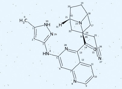 Cc1cc(Nc2cc3ncccc3c(C(=O)[C@@H]3CC4CC[C@@H](C3)N4CCC#N)n2)n[nH]1